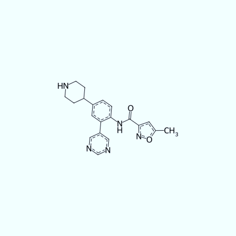 Cc1cc(C(=O)Nc2ccc(C3CCNCC3)cc2-c2cncnc2)no1